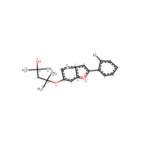 CCc1ccccc1-c1cc2ccc(OC(C)(C)CC(C)(C)O)cc2o1